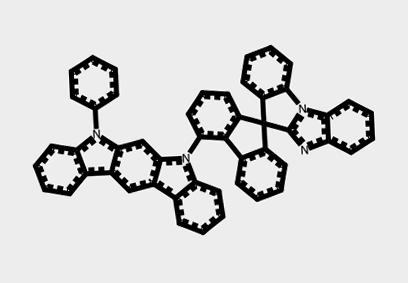 c1ccc(-n2c3ccccc3c3cc4c5ccccc5n(-c5cccc6c5-c5ccccc5C65c6ccccc6-n6c5nc5ccccc56)c4cc32)cc1